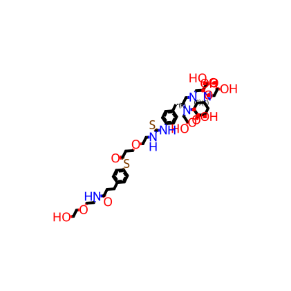 O=C(O)CN(CC(=O)O)[C@H](Cc1ccc(NC(=S)NCCOCCC(=O)Sc2ccc(CCC(=O)NCCOCCO)cc2)cc1)CN(CC(=O)O)[C@H]1CCCC[C@@H]1N(CC(=O)O)CC(=O)O